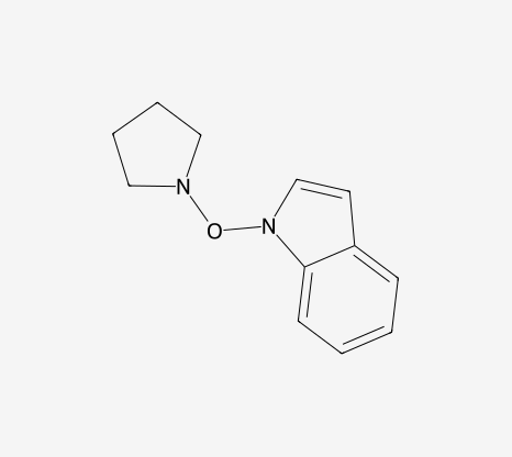 c1ccc2c(c1)ccn2ON1CCCC1